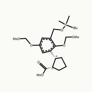 COCOc1cc(CO[Si](C)(C)C(C)(C)C)c(OCOC)c([C@@H]2CCC[C@@H]2C(=O)OC)c1